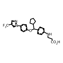 O=C(O)CCNc1ccc(C(Oc2ccc(-n3cc(C(F)(F)F)cn3)cc2)C2CCCC2)cc1